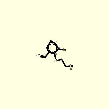 O=Cc1cccc(Br)c1SCCBr